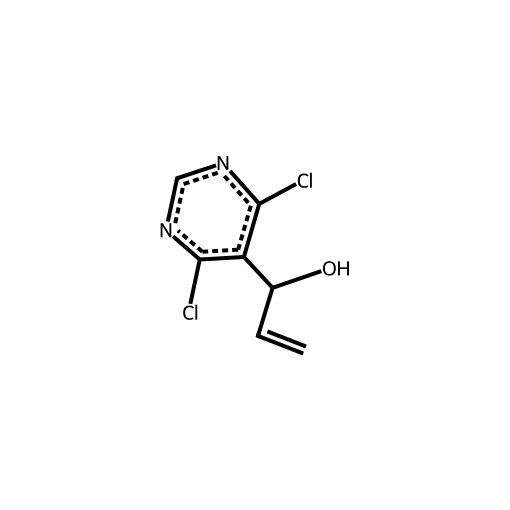 C=CC(O)c1c(Cl)ncnc1Cl